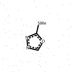 [CH2]Sc1nnco1